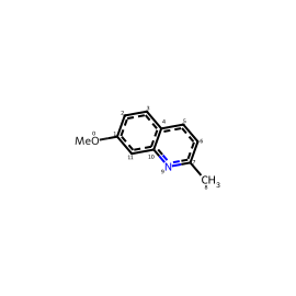 COc1ccc2ccc(C)nc2c1